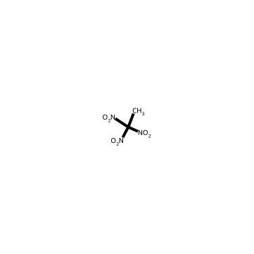 CC([N+](=O)[O-])([N+](=O)[O-])[N+](=O)[O-]